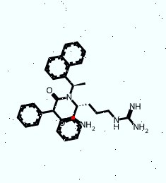 C[C@H](c1cccc2ccccc12)N(C(=O)C(c1ccccc1)c1ccccc1)[C@H](CCCNC(=N)N)C(N)=O